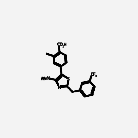 CNc1nc(Cc2cccc(C(F)(F)F)c2)sc1-c1ccc(C(=O)O)c(C)c1